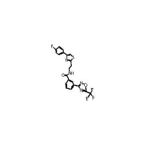 O=C(NCCc1nc(-c2ccc(F)cc2)cs1)c1cccc(-c2noc(C(F)(F)F)n2)c1